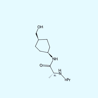 CCCN[C@H](C)C(=O)N[C@H]1CC[C@@H](CO)CC1